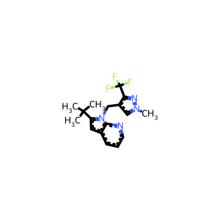 Cn1cc(Cn2c(C(C)(C)C)cc3cccnc32)c(C(F)(F)F)n1